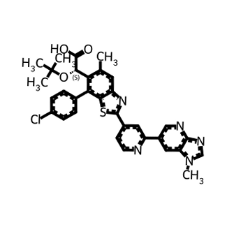 Cc1cc2nc(-c3ccnc(-c4cnc5ncn(C)c5c4)c3)sc2c(-c2ccc(Cl)cc2)c1[C@H](OC(C)(C)C)C(=O)O